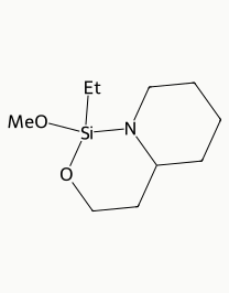 CC[Si]1(OC)OCCC2CCCCN21